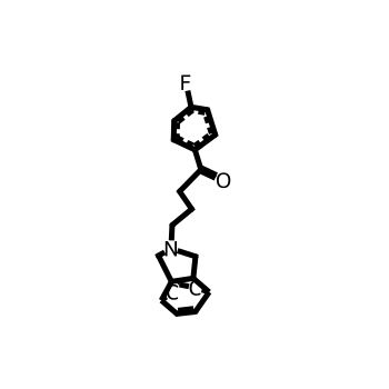 O=C(CCCN1CC2C3C=CC(CCC3)C2C1)c1ccc(F)cc1